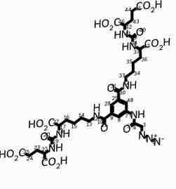 [N-]=[N+]=NCC(=O)Nc1cc(C(=O)NCCCCC(NC(=O)NC(CCC(=O)O)C(=O)O)C(=O)O)cc(C(=O)NCCCCC(NC(=O)NC(CCC(=O)O)C(=O)O)C(=O)O)c1